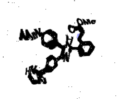 CNc1ccc(-c2[nH]c(-c3ccccc3/C=C/C(=O)OC)nc2-c2ccc(-c3ncc[nH]3)cc2)cc1